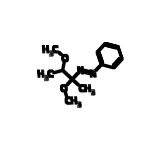 COC(C)C(C)(N=Nc1ccccc1)OC